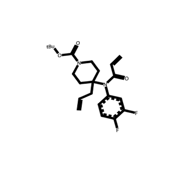 C=CCC1(N(C(=O)C=C)c2ccc(F)c(F)c2)CCN(C(=O)OC(C)(C)C)CC1